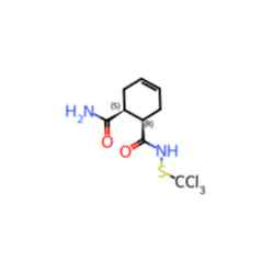 NC(=O)[C@H]1CC=CC[C@H]1C(=O)NSC(Cl)(Cl)Cl